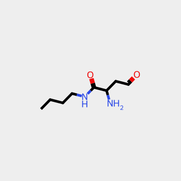 CCCCNC(=O)C(N)CC=O